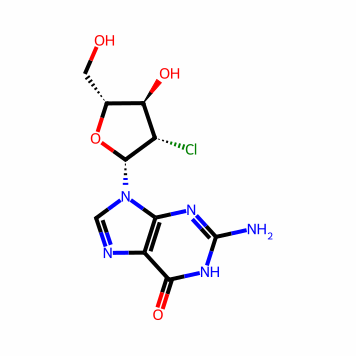 Nc1nc2c(ncn2[C@@H]2O[C@H](CO)[C@@H](O)[C@@H]2Cl)c(=O)[nH]1